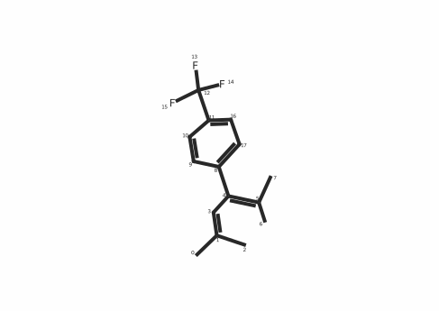 CC(C)=CC(=C(C)C)c1ccc(C(F)(F)F)cc1